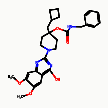 COc1cc2nc(N3CCC(CC4CCC4)(OC(=O)NCc4ccccc4)CC3)nc(O)c2cc1OC